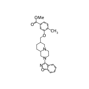 COC(=O)c1ccc(C)c(OCC2CCC3CN(c4noc5ccccc45)CCN3C2)c1